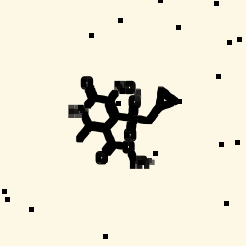 CC[CH]OC(=O)c1c(C)[nH]c(=O)c([N+](=O)[O-])c1S(=O)(=O)CC1CC1